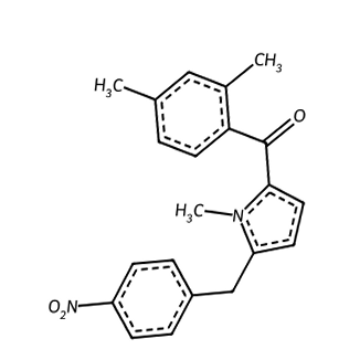 Cc1ccc(C(=O)c2ccc(Cc3ccc([N+](=O)[O-])cc3)n2C)c(C)c1